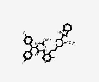 COC(=O)NC(C(=O)Nc1cncc(F)c1CCC1CN(C(=O)O)C(c2nc3ccccc3[nH]2)CO1)C(c1ccc(F)cc1)c1ccc(F)cc1